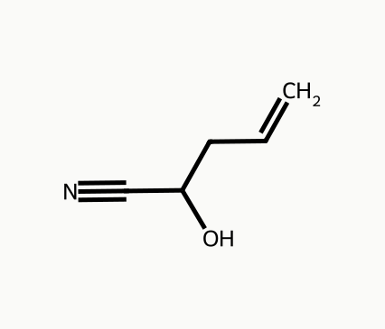 C=CCC(O)C#N